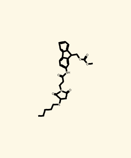 CCCCCSC1CC(=O)N(CCC(=O)Nc2ccc3c(c2)C(COC(=O)OC)c2ccccc2-3)C1=O